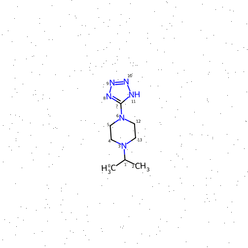 CC(C)N1CCN(c2nnn[nH]2)CC1